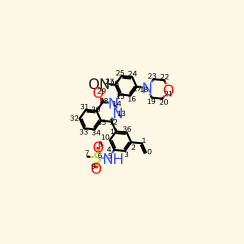 C=Cc1cc(NS(C)(=O)=O)cc(-c2nn(-c3cc(N4CCOCC4)ccc3N=O)c(=O)c3ccccc23)c1